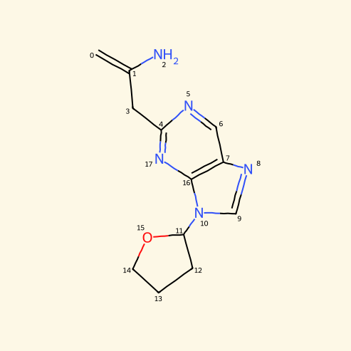 C=C(N)Cc1ncc2ncn(C3CCCO3)c2n1